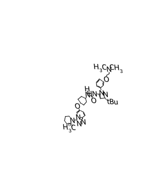 C[C@H]1CCCCN1c1nnc2ccc(O[C@H]3CC[C@H](NC(=O)Nc4cc(C(C)(C)C)nn4-c4cccc(OCCN(C)C)c4)CC3)cn12